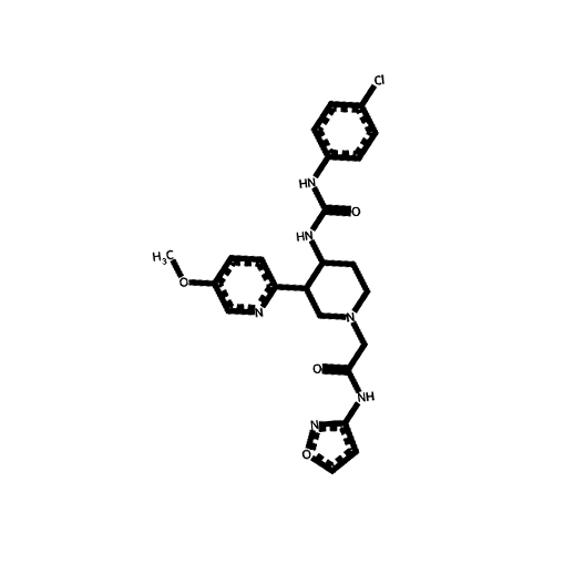 COc1ccc(C2CN(CC(=O)Nc3ccon3)CCC2NC(=O)Nc2ccc(Cl)cc2)nc1